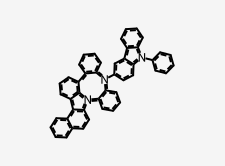 c1ccc(-n2c3ccccc3c3cc(-n4c5ccccc5c5cccc6c7c8ccccc8ccc7n(c7ccccc74)c56)ccc32)cc1